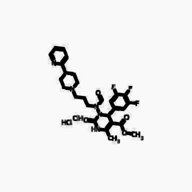 COC(=O)C1=C(C)NC(=O)N(N(C=O)CCCN2CCC(c3ccccn3)CC2)C1c1cc(F)c(F)c(F)c1.Cl.Cl